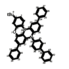 CC(C)(C)c1ccc2c(c1)Oc1cc(-c3ccccc3)cc3c1B2c1cc(-c2ccccc2)ccc1N3c1ccc(-c2ccccc2)cc1